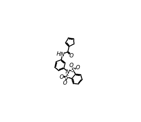 O=C(Nc1cccc(N2S(=O)(=O)c3ccccc3S2(=O)=O)c1)C1=CC=CC1